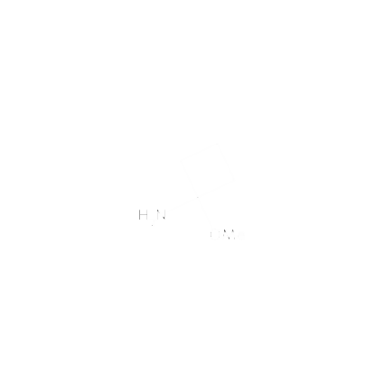 COC1(N)CCC1